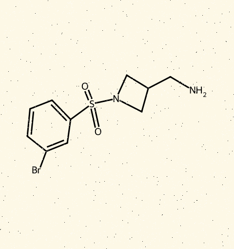 NCC1CN(S(=O)(=O)c2cccc(Br)c2)C1